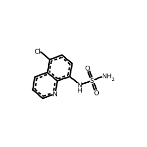 NS(=O)(=O)Nc1ccc(Cl)c2cccnc12